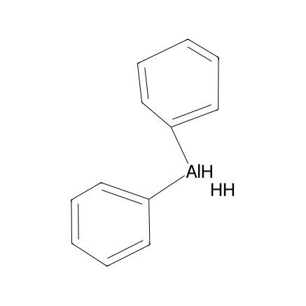 [HH].c1cc[c]([AlH][c]2ccccc2)cc1